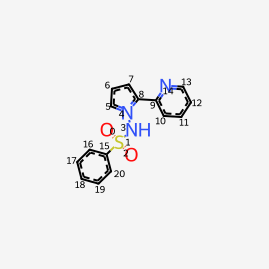 O=S(=O)(Nn1cccc1-c1ccccn1)c1ccccc1